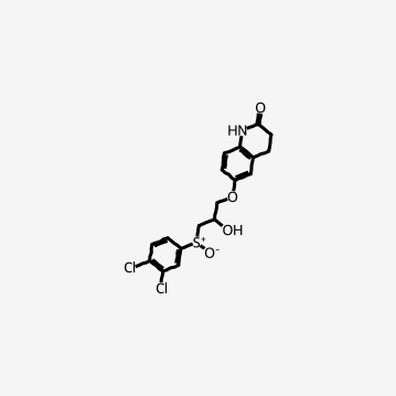 O=C1CCc2cc(OCC(O)C[S+]([O-])c3ccc(Cl)c(Cl)c3)ccc2N1